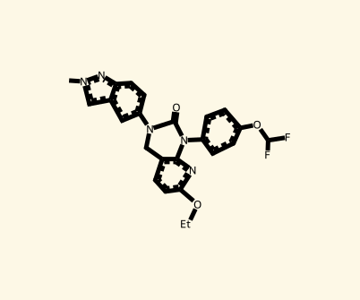 CCOc1ccc2c(n1)N(c1ccc(OC(F)F)cc1)C(=O)N(c1ccc3nn(C)cc3c1)C2